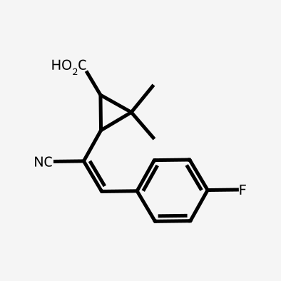 CC1(C)C(C(=O)O)C1/C(C#N)=C\c1ccc(F)cc1